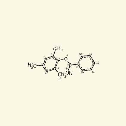 Cc1cc(C)c(OB(O)c2ccccc2)c(C)c1